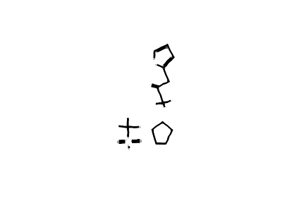 C1CCCC1.CC(C)(C)C(=O)Cc1cccs1.O=S(=O)(O)C(F)(F)F